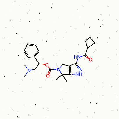 CN(C)CC(OC(=O)N1Cc2c(NC(=O)C3CCC3)n[nH]c2C1(C)C)c1ccccc1